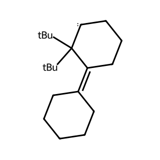 CC(C)(C)C1(C(C)(C)C)[C]CCCC1=C1CCCCC1